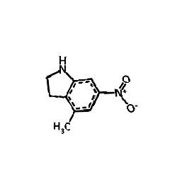 Cc1cc([N+](=O)[O-])cc2c1CCN2